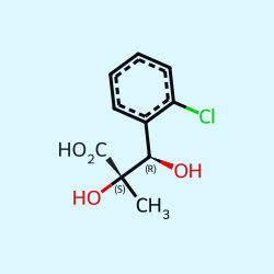 C[C@@](O)(C(=O)O)[C@H](O)c1ccccc1Cl